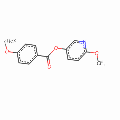 CCCCCCOc1ccc(C(=O)Oc2ccc(OC(F)(F)F)nc2)cc1